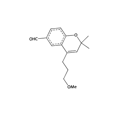 COCCCC1=CC(C)(C)Oc2ccc(C=O)cc21